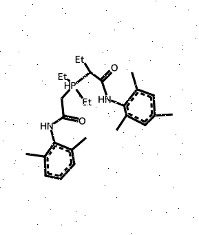 CCC(C(=O)Nc1c(C)cc(C)cc1C)[PH](CC)(CC)CC(=O)Nc1c(C)cccc1C